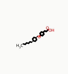 CCCCCCC[C@H]1CC[C@@H](COc2ccc(C=CC(=O)O)cc2)CC1